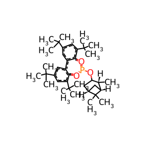 C[C@H]1C(Op2oc3c(C(C)(C)C)cc(C(C)(C)C)cc3c3cc(C(C)(C)C)cc(C(C)(C)C)c3o2)C[C@@H]2C[C@H]1C2(C)C